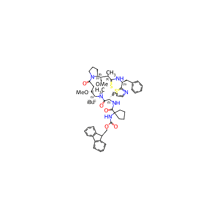 CC[C@H](C)[C@@H]([C@@H](CC(=O)N1CCC[C@H]1[C@H](OC)[C@@H](C)C(=S)N[C@@H](Cc1ccccc1)c1nccs1)OC)N(C)C(=O)[C@@H](NC(=O)C1(NC(=O)OCC2c3ccccc3-c3ccccc32)CCCC1)C(C)C